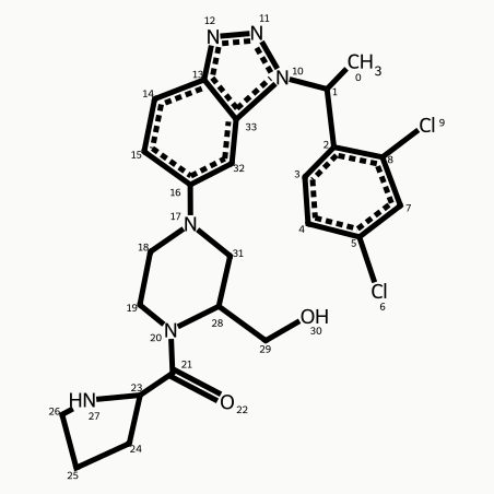 CC(c1ccc(Cl)cc1Cl)n1nnc2ccc(N3CCN(C(=O)C4CCCN4)C(CO)C3)cc21